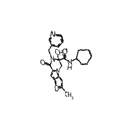 Cc1cc2c(cc3n2CC(C)(C(=O)NC2CCCCC2)N(Cc2cccnc2)C3=O)o1